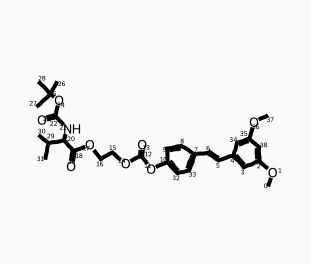 COc1cc(C=Cc2ccc(OC(=O)OCCOC(=O)C(NC(=O)OC(C)(C)C)C(C)C)cc2)cc(OC)c1